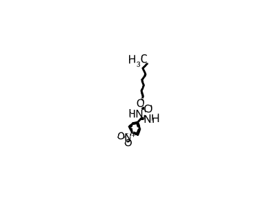 CCCCCCCCOC(=O)NC(=N)c1ccc([N+](=O)[O-])cc1